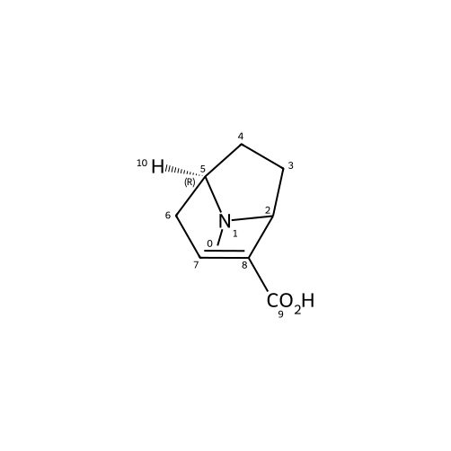 CN1C2CC[C@@H]1CC=C2C(=O)O